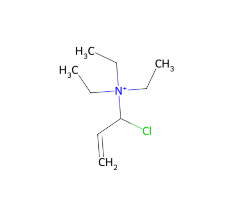 C=CC(Cl)[N+](CC)(CC)CC